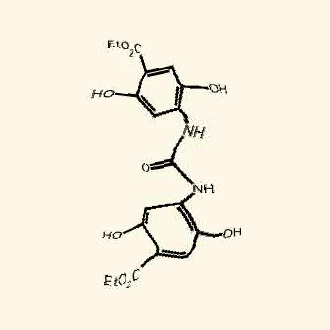 CCOC(=O)c1cc(O)c(NC(=O)Nc2cc(O)c(C(=O)OCC)cc2O)cc1O